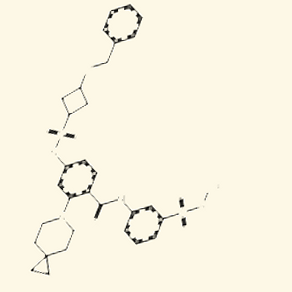 CC(C)(C)NS(=O)(=O)c1cccc(NC(=O)c2ccc(NS(=O)(=O)C3CC(OCc4ccccc4)C3)cc2N2CCC3(CC2)CC3)c1